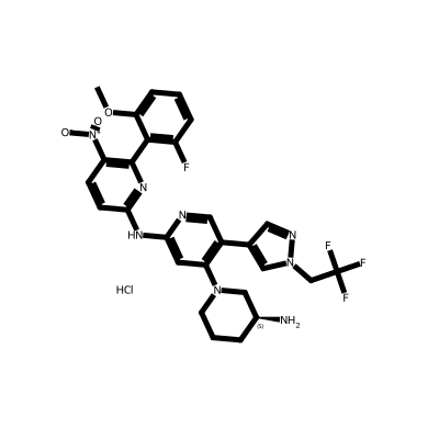 COc1cccc(F)c1-c1nc(Nc2cc(N3CCC[C@H](N)C3)c(-c3cnn(CC(F)(F)F)c3)cn2)ccc1[N+](=O)[O-].Cl